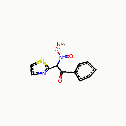 Br.O=C(c1ccccc1)C(c1nccs1)[N+](=O)[O-]